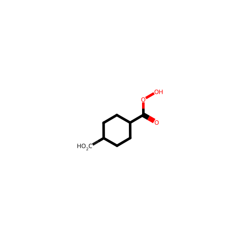 O=C(O)C1CCC(C(=O)OO)CC1